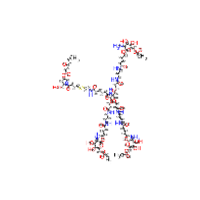 CCCC(=O)CCC(=O)O[C@@H]1C[C@@H](CO)N(C(=O)CCCSSCCNC(=O)CCCCC(=O)NC(COCCC(=O)NCCCNC(=O)CCCCOC2OC(COC(C)=O)C(O)C(O)C2N)(COCCC(=O)NCCCNC(=O)CCCCOC2OC(COC(C)=O)C(O)C(O)C2N)COCCC(=O)NCCCNC(=O)CCCCOC2OC(COC(C)=O)C(O)C(O)C2N)C1